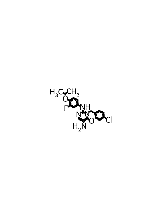 CC(C)Oc1ccc(Nc2ncc(N)c(=O)n2Cc2ccc(Cl)cc2)cc1F